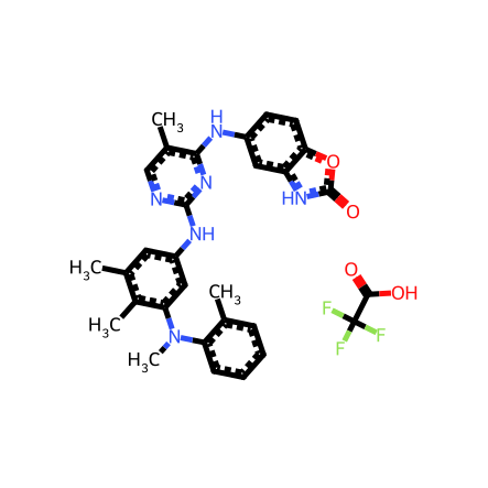 Cc1ccccc1N(C)c1cc(Nc2ncc(C)c(Nc3ccc4oc(=O)[nH]c4c3)n2)cc(C)c1C.O=C(O)C(F)(F)F